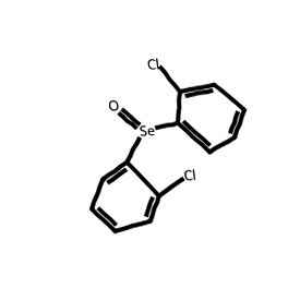 O=[Se](c1ccccc1Cl)c1ccccc1Cl